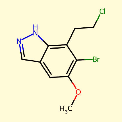 COc1cc2cn[nH]c2c(CCCl)c1Br